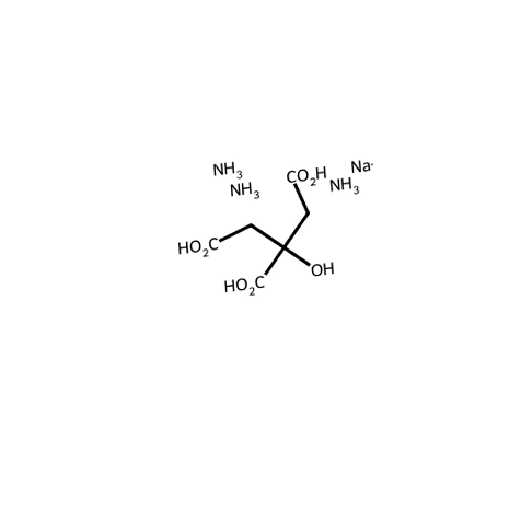 N.N.N.O=C(O)CC(O)(CC(=O)O)C(=O)O.[Na]